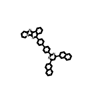 c1ccc2cc(-c3cc(-c4ccc5ccccc5c4)nc(-c4ccc(-c5ccc(-c6nc7c(nc8ccccn87)c7ccccc67)cc5)cc4)n3)ccc2c1